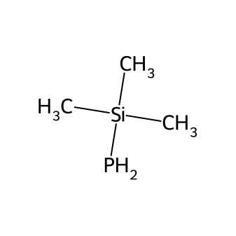 C[Si](C)(C)P